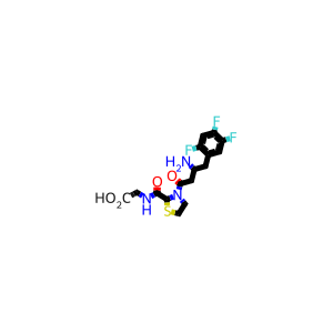 NC(CC(=O)N1CCSC1C(=O)NCC(=O)O)Cc1cc(F)c(F)cc1F